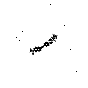 CC(=O)Nc1ccc2cc(C#Cc3ccc(N4CCN(S(=O)(=O)NC(C)C(=O)O)CC4)cc3)ccc2c1